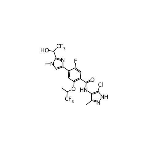 Cc1n[nH]c(Cl)c1NC(=O)c1cc(F)c(-c2cn(C)c(C(O)C(F)(F)F)n2)cc1OC(C)C(F)(F)F